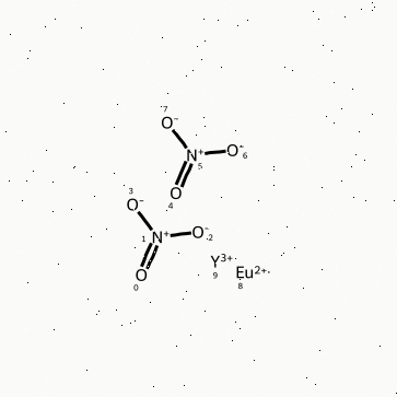 O=[N+]([O-])[O-].O=[N+]([O-])[O-].[Eu+2].[Y+3]